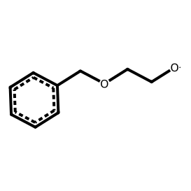 [O]CCOCc1ccccc1